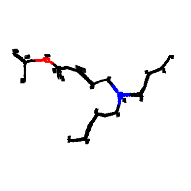 CCCCN(CCCC)CCC[SiH2]OC(C)C